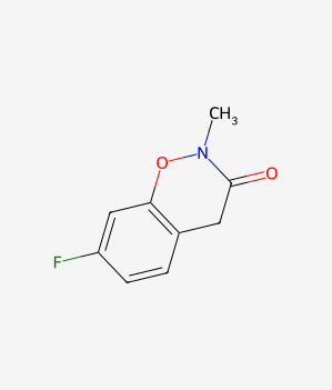 CN1Oc2cc(F)ccc2CC1=O